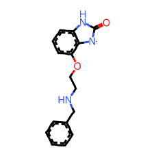 O=C1[N]c2c(cccc2OCCNCc2ccccc2)N1